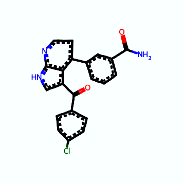 NC(=O)c1cccc(-c2ccnc3[nH]cc(C(=O)c4ccc(Cl)cc4)c23)c1